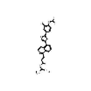 C=C(C)OC(=O)CCc1nccc2c(-c3noc(-c4ccc(OC(F)F)c(Cl)c4)n3)cccc12